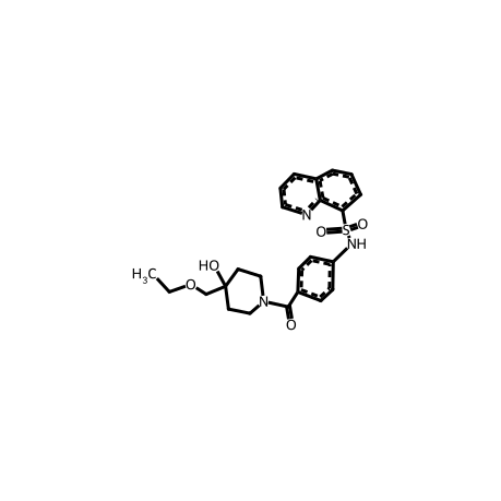 CCOCC1(O)CCN(C(=O)c2ccc(NS(=O)(=O)c3cccc4cccnc34)cc2)CC1